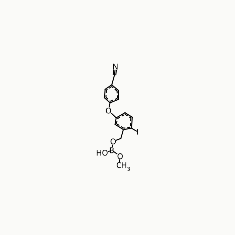 COB(O)OCc1cc(Oc2ccc(C#N)cc2)ccc1I